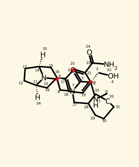 CN[C@@H](CO)C(=O)N(CCN1[C@@H]2CC[C@H]1C[C@@H](c1cccc(C(N)=O)c1)C2)CC1CCCCC1